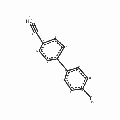 C#Cc1ccc(-c2ccc(F)cc2)cc1